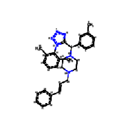 Cc1cccc([C@H](c2nnnn2-c2c(C)cccc2C)N2CCN(C/C=C/c3ccccc3)CC2)c1